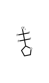 FC(F)(F)C(F)(F)C(F)(F)C1CCCO1